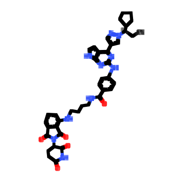 N#CC[C@H](C1CCCC1)n1cc(-c2nc(Nc3ccc(C(=O)NCCCCNc4cccc5c4C(=O)N(C4CCC(=O)NC4=O)C5=O)cc3)nc3[nH]ccc23)cn1